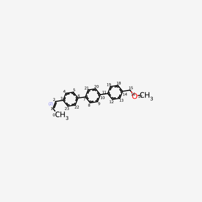 C/C=C\c1ccc(-c2ccc(-c3ccc(COC)cc3)cc2)cc1